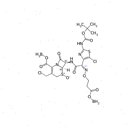 BOC(=O)CCO/N=C(\C(=O)N[C@@H]1C(=O)N2C(C(=O)OB)=C(CCl)C[S+]([O-])[C@H]12)c1nc(NC(=O)OC(C)(C)C)sc1Cl